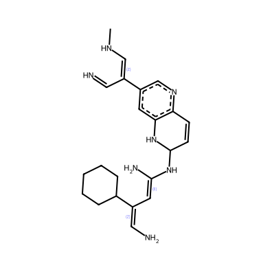 CN/C=C(\C=N)c1cnc2c(c1)NC(N/C(N)=C/C(=C\N)C1CCCCC1)C=C2